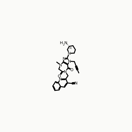 CC#CCn1c(N2CCC[C@@H](N)C2)nc2c1C(=O)N(Cc1nc3ccccc3cc1C#N)C(=O)CN2C